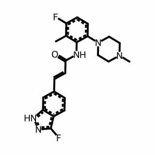 Cc1c(F)ccc(N2CCN(C)CC2)c1NC(=O)/C=C/c1ccc2c(F)n[nH]c2c1